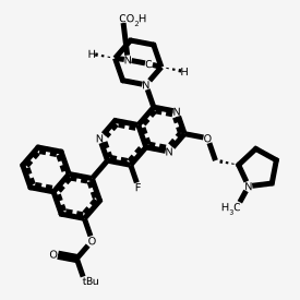 CN1CCC[C@H]1COc1nc(N2C[C@H]3CC[C@@H]2CN3C(=O)O)c2cnc(-c3cc(OC(=O)C(C)(C)C)cc4ccccc34)c(F)c2n1